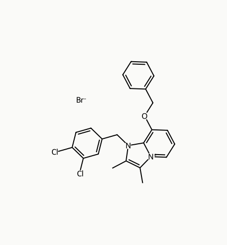 Cc1c(C)[n+]2cccc(OCc3ccccc3)c2n1Cc1ccc(Cl)c(Cl)c1.[Br-]